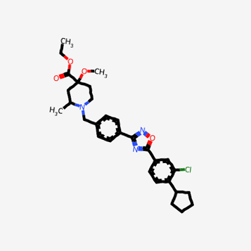 CCOC(=O)C1(OC)CCN(Cc2ccc(-c3noc(-c4ccc(C5CCCC5)c(Cl)c4)n3)cc2)C(C)C1